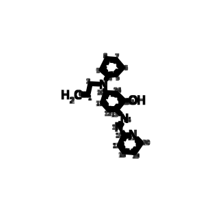 C=CCN(c1ccccc1)c1ccc(N=Nc2ccccn2)c(O)c1